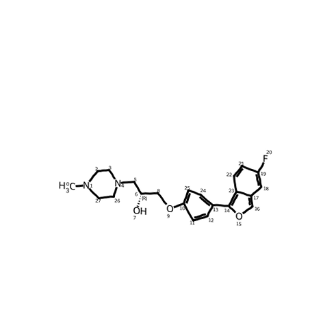 CN1CCN(C[C@@H](O)COc2ccc(-c3occ4cc(F)ccc34)cc2)CC1